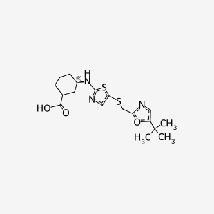 CC(C)(C)c1cnc(CSc2cnc(N[C@@H]3CCCC(C(=O)O)C3)s2)o1